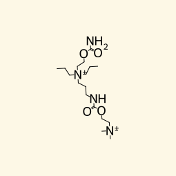 CCC[N+](CCC)(CCCNC(=O)OCC[N+](C)(C)C)CCOC(N)=O